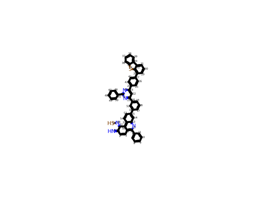 N=C1C=Cc2c(-c3ccccc3)nc3cc(-c4cccc(-c5cc(-c6ccc(-c7cccc8c7sc7ccccc78)cc6)nc(-c6ccccc6)n5)c4)ccc3c2/C1=N/S